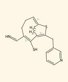 C/C1=C\CC/C(C=N)=C(S)\C(C)=C(/Cc2cccnc2)S1